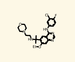 CCOc1cc2ncnc(Nc3ccc(F)c(Cl)c3)c2cc1C(C)(C)NCCN1CCOCC1